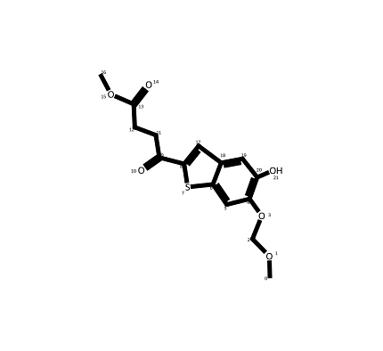 COCOc1cc2sc(C(=O)CCC(=O)OC)cc2cc1O